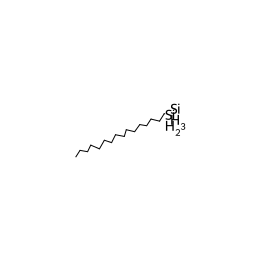 CCCCCCCCCCCCCCCC[SiH2][SiH3]